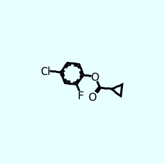 O=C(Oc1ccc(Cl)cc1F)C1CC1